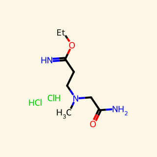 CCOC(=N)CCN(C)CC(N)=O.Cl.Cl